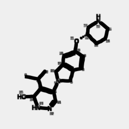 CC(C)C1=C(N2Cc3ccc(O[C@H]4CCCNC4)cc3C2)C=NNC1O